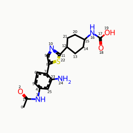 CC(=O)Nc1ccc(-c2cnc(C3CCC(NC(=O)O)CC3)s2)c(N)c1